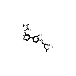 CNC(=O)Oc1cc(-c2ccc(OC[C@@](C)(N)CC(C)C)c(Cl)c2)cnn1